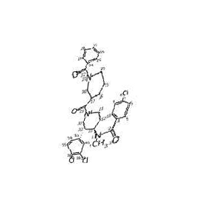 CN(C(=O)c1ccc(Cl)cc1)[C@@H]1CCN(C(=O)C2CCCN(C(=O)c3ccccc3)C2)C[C@H]1c1ccc(Cl)c(Cl)c1